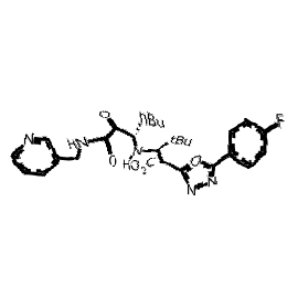 CCCC[C@@H](C(=O)C(=O)NCc1cccnc1)N(C(=O)O)[C@H](Cc1nnc(-c2ccc(F)cc2)o1)C(C)(C)C